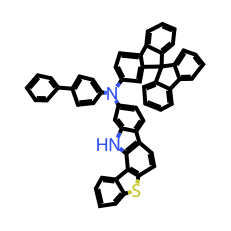 c1ccc(-c2ccc(N(c3ccc4c(c3)C3(c5ccccc5-c5ccccc53)c3ccccc3-4)c3ccc4c(c3)[nH]c3c4ccc4sc5ccccc5c43)cc2)cc1